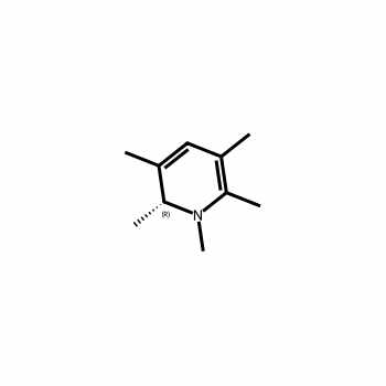 CC1=CC(C)=C(C)N(C)[C@@H]1C